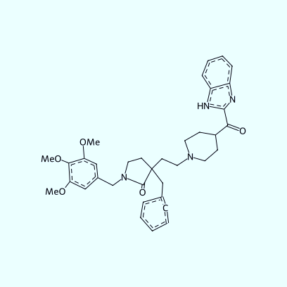 COc1cc(CN2CCC(CCN3CCC(C(=O)c4nc5ccccc5[nH]4)CC3)(Cc3ccccc3)C2=O)cc(OC)c1OC